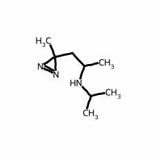 CC(C)NC(C)CC1(C)N=N1